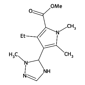 CCc1c(C2NC=NN2C)c(C)n(C)c1C(=O)OC